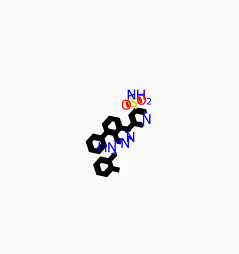 Cc1ccccc1CNc1nnc(-c2cncc(S(N)(=O)=O)c2)c2cccc(-c3ccccc3)c12